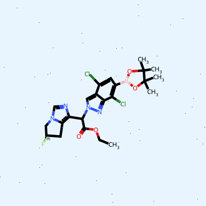 CCOC(=O)C(c1ncn2c1C[C@@H](F)C2)n1cc2c(Cl)cc(B3OC(C)(C)C(C)(C)O3)c(Cl)c2n1